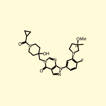 CO[C@]1(C)CCN(c2cc(-n3ncc4c(=O)n(CC5(O)CCN(C(=O)C6CC6)CC5)cnc43)ccc2F)C1